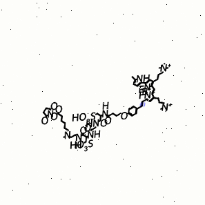 Cc1ccc(-c2cc(CCC[N+](C)(C)C)c3n2[B-](F)(F)[N+]2=C(/C=C/c4ccc(OCCCC(=O)NC(CS(=O)(=O)O)C(=O)NCC(=O)NC(CS(=O)(=O)O)C(=O)NCCN(C)CCCCCC(=O)ON5C(=O)CCC5=O)cc4)C=C(CCC[N+](C)(C)C)C2=C3)[nH]1